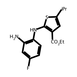 CCOC(=O)c1cc(C(C)C)sc1Nc1ccc(F)cc1N